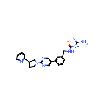 N=C(N)NC(=O)NCc1cccc(-c2cnc(N3CCC(c4ccccn4)C3)nc2)c1